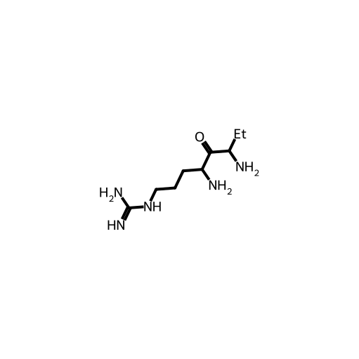 CCC(N)C(=O)C(N)CCCNC(=N)N